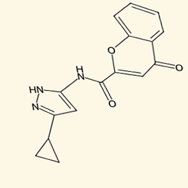 O=C(Nc1cc(C2CC2)n[nH]1)c1cc(=O)c2ccccc2o1